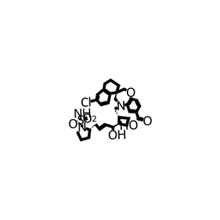 NS(=O)(=O)N1CCC[C@H]1C/C=C/C(O)[C@@H]1CC[C@H]1CN1C[C@@]2(CCCc3cc(Cl)ccc32)COc2ccc(C(=O)O)cc21